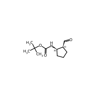 CC(C)(C)OC(=O)N[C@@H]1CCC[C@@H]1C=O